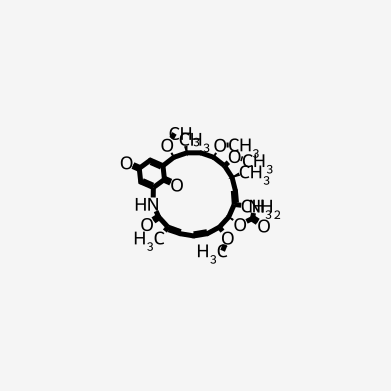 COC1[C@@H](OC)C[C@H](C)[C@@H](OC)C2=CC(=O)C=C(NC(=O)C(C)=CC=CC(OC)[C@@H](OC(N)=O)C(C)=C[C@@H]1C)C2=O